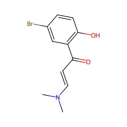 CN(C)C=CC(=O)c1cc(Br)ccc1O